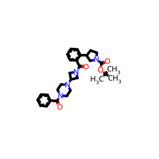 CC(C)(C)OC(=O)N1CCC(c2ccccc2C(=O)N2CC(N3CCN(C(=O)c4ccccc4)CC3)C2)C1